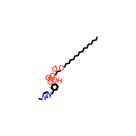 CCCCCCCCCCCCCCCCOCC(COP(=O)(O)Oc1cccc(CN2[CH]N(CC)C=C2)c1)OC